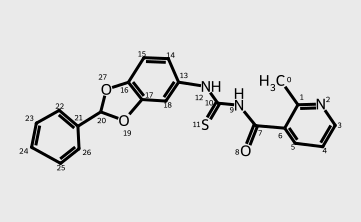 Cc1ncccc1C(=O)NC(=S)Nc1ccc2c(c1)OC(c1ccccc1)O2